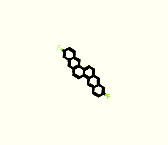 Fc1ccc2cc3c(ccc4c5cc6ccc(F)cc6cc5ccc34)cc2c1